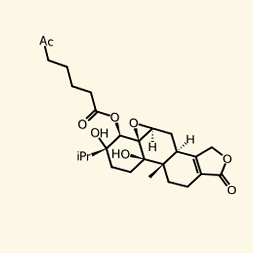 CC(=O)CCCCC(=O)O[C@H]1[C@]23O[C@H]2C[C@H]2C4=C(CC[C@]2(C)[C@]3(O)CC[C@@]1(O)C(C)C)C(=O)OC4